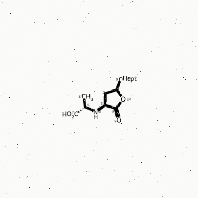 CCCCCCCC1CC(N[C@@H](C)C(=O)O)C(=O)O1